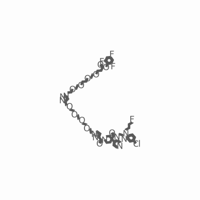 O=C(CCOCCOCCOCCOCCn1cc(COCCOCCOCCOCCn2ccc(C(=O)N3CCC4(CC3)C(=O)N(Cc3nc5cc(Cl)ccc5n3CCCCF)c3cnccc34)n2)nn1)Oc1c(F)cc(F)cc1F